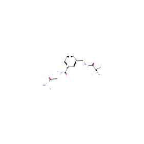 CN(C)C(=O)CNC(=O)c1cccc(CNC(=O)C(C)(C)C)c1